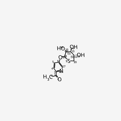 CC(=O)c1ccc(O[C@@H]2SC[C@@H](O)[C@H](O)[C@H]2O)cn1